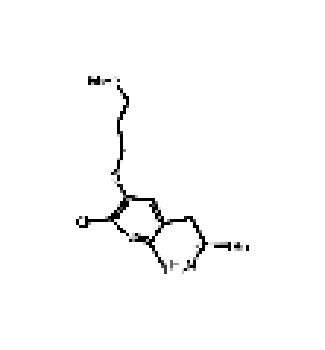 COCCCOc1cc(C[C@H](N)C(C)(C)C)c(I)nc1Cl